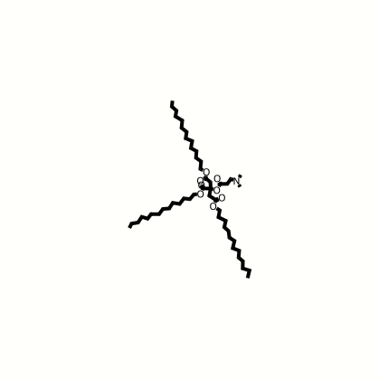 CCCCCCCCCCCCCCOC(=O)CC(CC(=O)OCCCCCCCCCCCCCC)(OC(=O)CCN(C)C)C(=O)OCCCCCCCCCCCCCC